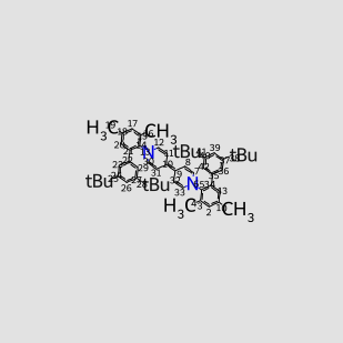 Cc1cc(C)c(N2C=CC(=C3C=CN(c4c(C)cc(C)cc4-c4cc(C(C)(C)C)cc(C(C)(C)C)c4)C=C3)C=C2)c(-c2cc(C(C)(C)C)cc(C(C)(C)C)c2)c1